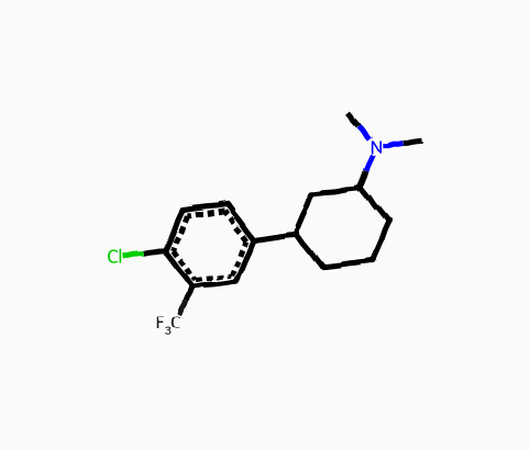 CN(C)C1CCCC(c2ccc(Cl)c(C(F)(F)F)c2)C1